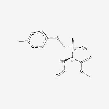 COC(=O)[C@@H](NC=O)[C@@](C)(O)CSc1ccc(C)cc1